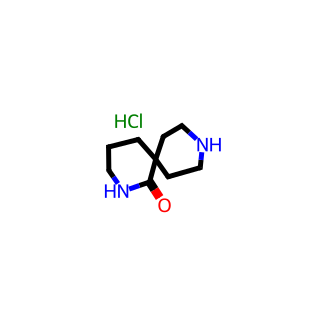 Cl.O=C1NCCCC12CCNCC2